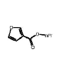 CCCOC(=O)c1[c]occ1